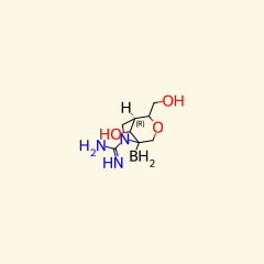 BC12COC(CO)[C@H](CN1C(=N)N)C2O